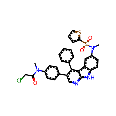 CN(C(=O)CCl)c1ccc(-c2cnc3[nH]c4ccc(N(C)S(=O)(=O)c5cccs5)cc4c3c2-c2ccccc2)cc1